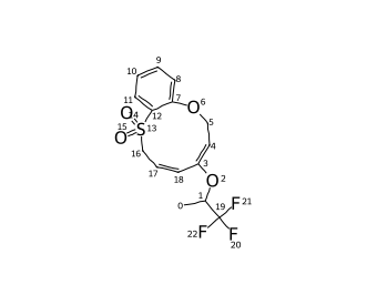 CC(OC1=C/COc2ccccc2S(=O)(=O)C/C=C\1)C(F)(F)F